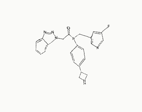 O=C(Cn1nnc2ccccc21)N(Cc1cncc(F)c1)c1ccc(C2CNC2)cc1